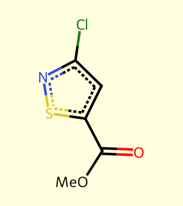 COC(=O)c1cc(Cl)ns1